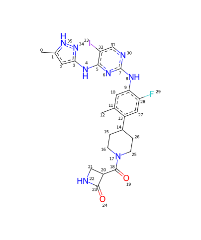 Cc1cc(Nc2nc(Nc3cc(C)c(C4CCN(C(=O)C5CNC5=O)CC4)cc3F)ncc2I)n[nH]1